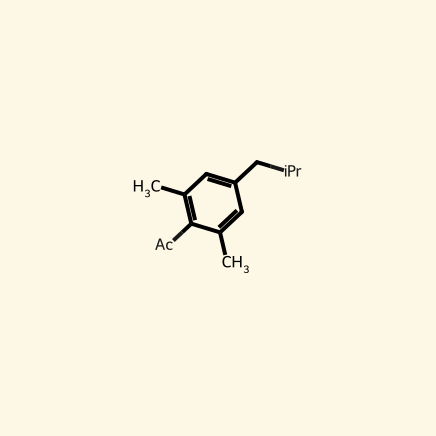 CC(=O)c1c(C)cc(CC(C)C)cc1C